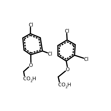 O=C(O)COc1ccc(Cl)cc1Cl.O=C(O)COc1ccc(Cl)cc1Cl